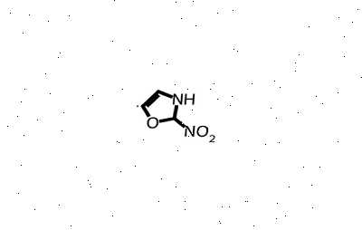 O=[N+]([O-])C1NC=[C]O1